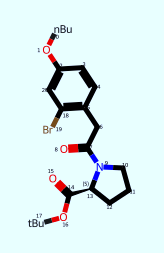 CCCCOc1ccc(CC(=O)N2CCC[C@H]2C(=O)OC(C)(C)C)c(Br)c1